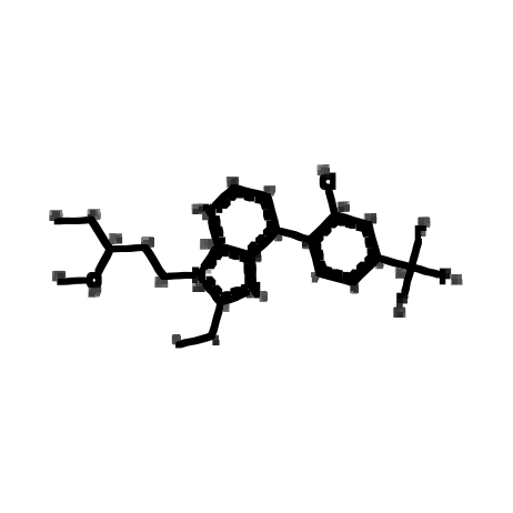 CCc1nc2c(-c3ccc(C(F)(F)F)cc3Cl)ccnc2n1CCC(CC)OC